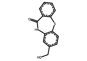 O=C1Nc2cc(CO)ccc2Sc2ccccc21